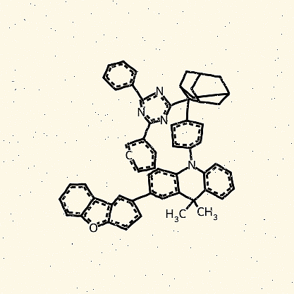 CC1(C)c2ccccc2N(c2ccc(C3(c4nc(-c5ccccc5)nc(-c5ccccc5)n4)C4CC5CC(C4)CC3C5)cc2)c2ccc(-c3ccc4oc5ccccc5c4c3)cc21